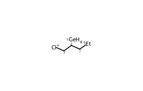 CCCCCCl.[GeH4]